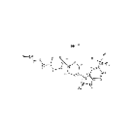 COCCO[C@H]1CC[C@](C)(N2CCC(n3c(=O)oc4ccc(C(F)(F)F)cc43)CC2)CC1.Cl